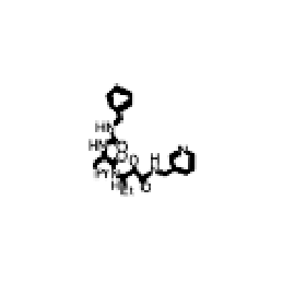 CCC(NC(=O)C(CC(C)C)NC(=O)NCc1ccccc1)C(=O)C(=O)NCc1cccnc1